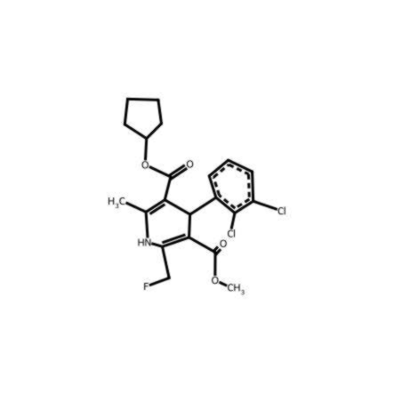 COC(=O)C1=C(CF)NC(C)=C(C(=O)OC2CCCC2)C1c1cccc(Cl)c1Cl